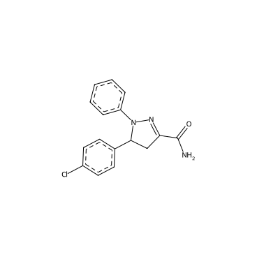 NC(=O)C1=NN(c2ccccc2)C(c2ccc(Cl)cc2)C1